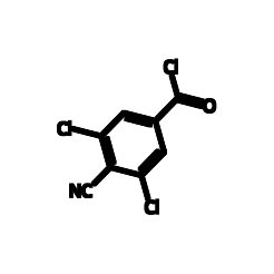 N#Cc1c(Cl)cc(C(=O)Cl)cc1Cl